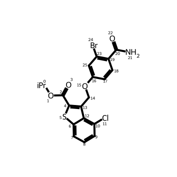 CC(C)OC(=O)c1sc2cccc(Cl)c2c1COc1ccc(C(N)=O)c(Br)c1